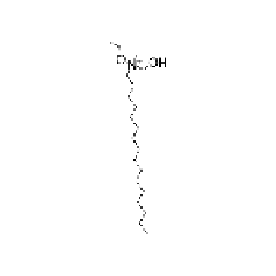 CCCCCCCCCCCCCCCC[N+](C)(CO)OCC